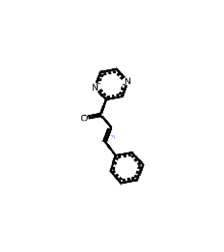 O=C(/C=C/c1ccccc1)c1cnccn1